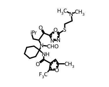 Cc1cc(C(=O)NC2(N(C=O)C(CC(C)C)C(=O)c3nnc(SCCN(C)C)o3)CCCCC2)c(C(F)(F)F)o1